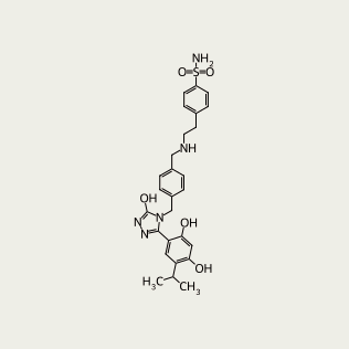 CC(C)c1cc(-c2nnc(O)n2Cc2ccc(CNCCc3ccc(S(N)(=O)=O)cc3)cc2)c(O)cc1O